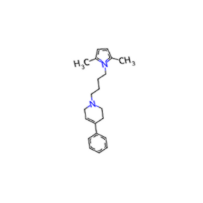 Cc1ccc(C)n1CCCCN1CC=C(c2ccccc2)CC1